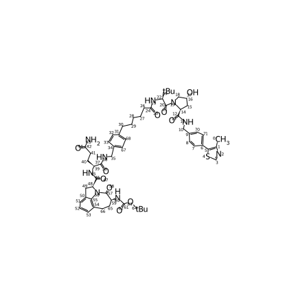 Cc1ncsc1-c1ccc(CNC(=O)[C@@H]2C[C@@H](O)CN2C(=O)[C@@H](NC(=O)CCCCCc2ccc(CNC(=O)[C@H](CCC(N)=O)NC(=O)[C@@H]3Cc4cccc5c4N3C(=O)[C@@H](NC(=O)OC(C)(C)C)CC5)cc2)C(C)(C)C)cc1